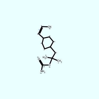 CC(C)(CC1CCC(/C=C\C#N)CC1)OC(N)=O